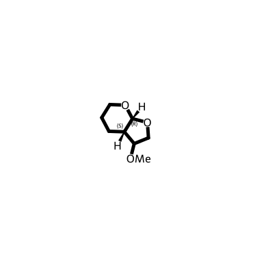 COC1CO[C@H]2OCCC[C@@H]12